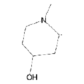 CN1[CH]CC(O)CC1